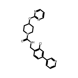 O=C(NCc1ccc(-c2cccnc2)cc1Cl)N1CCC(Oc2ncccn2)CC1